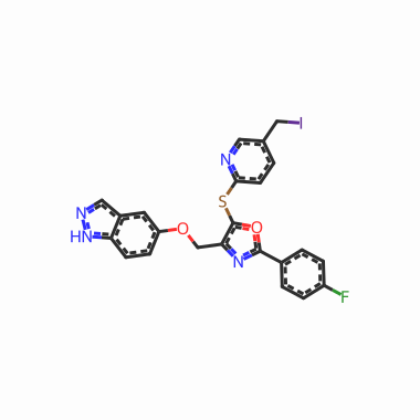 Fc1ccc(-c2nc(COc3ccc4[nH]ncc4c3)c(Sc3ccc(CI)cn3)o2)cc1